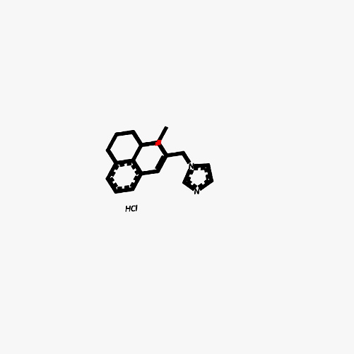 CCC12CCCc3cccc(c31)C=C(Cn1ccnc1)C2.Cl